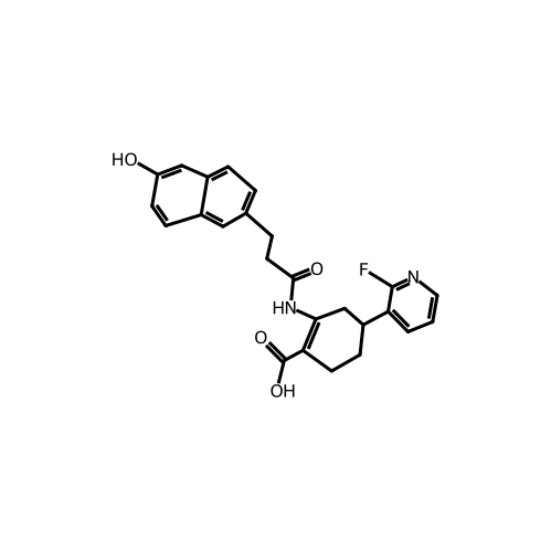 O=C(CCc1ccc2cc(O)ccc2c1)NC1=C(C(=O)O)CCC(c2cccnc2F)C1